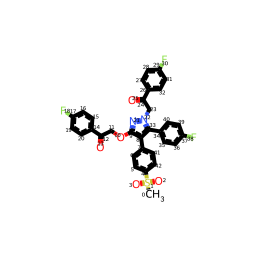 CS(=O)(=O)c1ccc(-c2c(OCC(=O)c3ccc(F)cc3)nn(CC(=O)c3ccc(F)cc3)c2-c2ccc(F)cc2)cc1